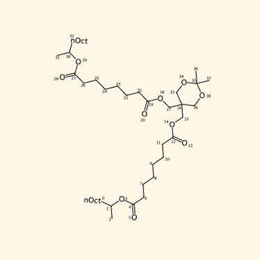 CCCCCCCCC(C)OC(=O)CCCCCCC(=O)OCC1(COC(=O)CCCCCCC(=O)OC(C)CCCCCCCC)COC(C)(C)OC1